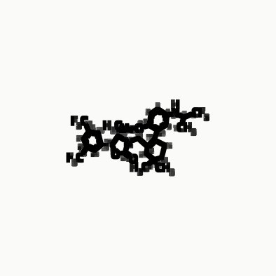 COc1ccc(NC(C)C(F)(F)F)cc1C1=C(CN2C(=O)O[C@H](c3cc(C(F)(F)F)cc(C(F)(F)F)c3)[C@@H]2C)CC(C)(C)CC1